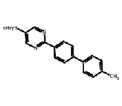 CCCCCCCc1cnc(-c2ccc(-c3ccc(C)cc3)cc2)nc1